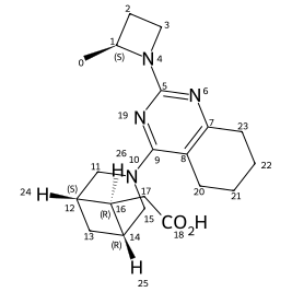 C[C@H]1CCN1c1nc2c(c(N3C[C@H]4C[C@@H](C3)[C@@H]4CC(=O)O)n1)CCCC2